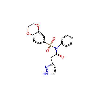 O=C(Cc1cc[nH]n1)N(c1ccccc1)S(=O)(=O)c1ccc2c(c1)OCCO2